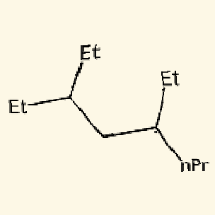 CCC[C](CC)CC(CC)CC